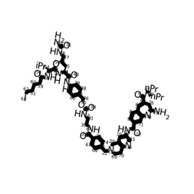 CCCN(CCC)C(=O)C1=Cc2ccc(C(=O)Nc3cnc4c(c3)CN(Cc3ccc(C(=O)NCCNC(=O)OCc5ccc(NC(=O)[C@H](CCCNC(N)=O)NC(=O)[C@@H](NC(=O)CCCCI)C(C)C)cc5)cc3)CC4)cc2N=C(N)C1